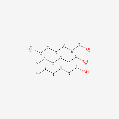 CCCCCCO.CCCCCCO.OCCCCCCP